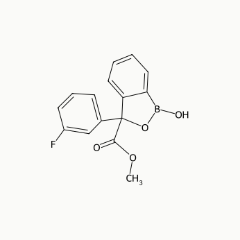 COC(=O)C1(c2cccc(F)c2)OB(O)c2ccccc21